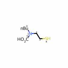 CCCCN(CCS)C(=O)O